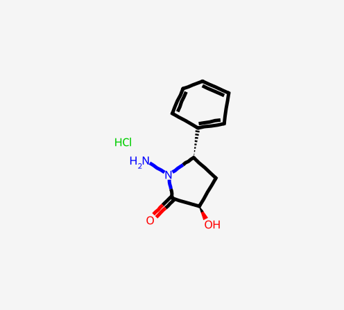 Cl.NN1C(=O)[C@H](O)C[C@H]1c1ccccc1